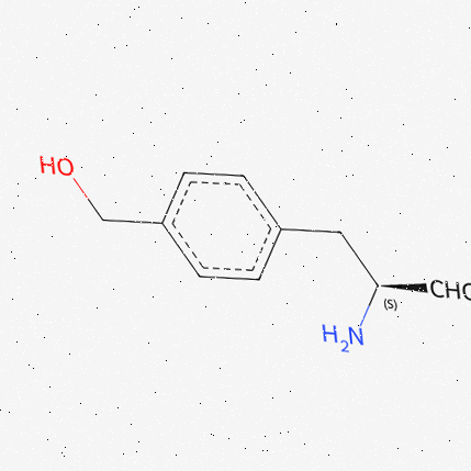 N[C@H](C=O)Cc1ccc(CO)cc1